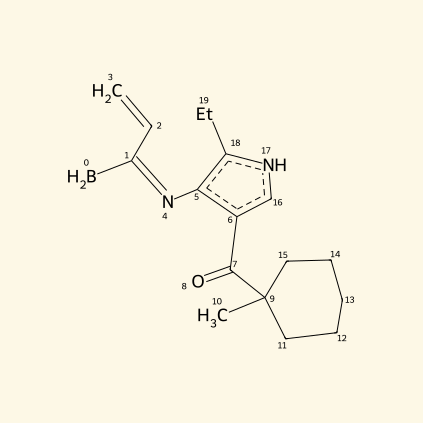 B/C(C=C)=N/c1c(C(=O)C2(C)CCCCC2)c[nH]c1CC